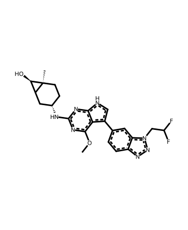 COc1nc(N[C@H]2CC[C@@]3(C)C(C2)[C@H]3O)nc2[nH]cc(-c3ccc4nnn(CC(F)F)c4c3)c12